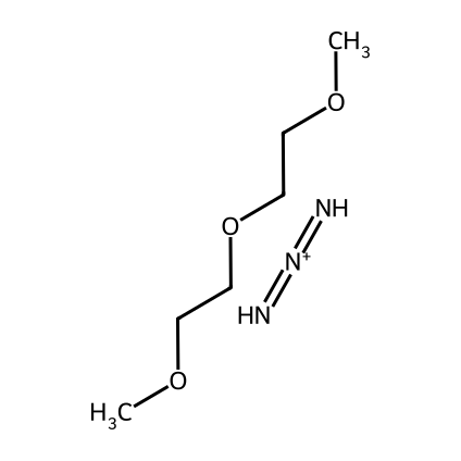 COCCOCCOC.N=[N+]=N